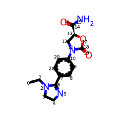 CCN1CCN=C1c1ccc(N2C[C@@H](C(N)=O)OC2=O)cc1